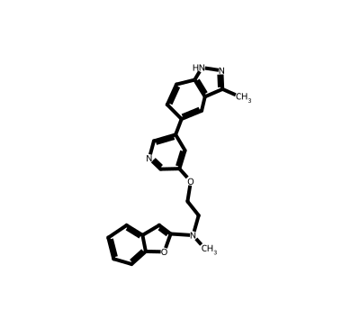 Cc1n[nH]c2ccc(-c3cncc(OCCN(C)c4cc5ccccc5o4)c3)cc12